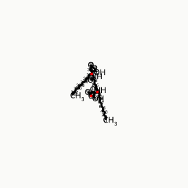 CCCCCCCCCCCCC(NC(=O)CCCC(=O)NC(CCCCCCCCCCCC)C1=CC(=O)OC1O)C1=CC(=O)OC1O